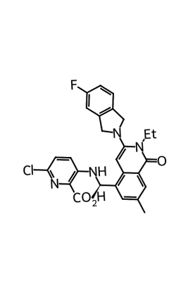 CCn1c(N2Cc3ccc(F)cc3C2)cc2c([C@@H](C)Nc3ccc(Cl)nc3C(=O)O)cc(C)cc2c1=O